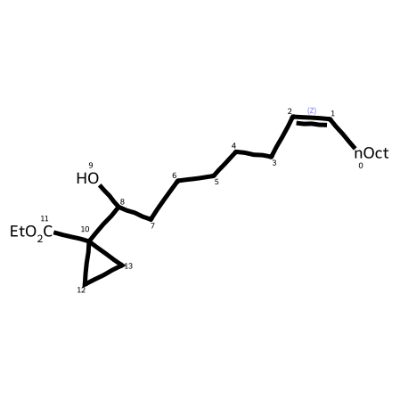 CCCCCCCC/C=C\CCCCCC(O)C1(C(=O)OCC)CC1